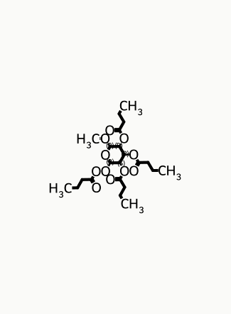 CCCC(=O)OO[C@H]1O[C@@H](OC)[C@H](OC(=O)CCC)[C@@H](OC(=O)CCC)[C@@H]1OC(=O)CCC